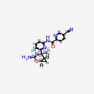 N#Cc1ccc(C(=O)Nc2ccc(F)c([C@@]3(C(F)F)N=C(N)O[C@@H]4C[C@@H]43)n2)nc1